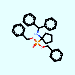 O=P(OCc1ccccc1)(OCc1ccccc1)C1(NC(c2ccccc2)c2ccccc2)CCCC1